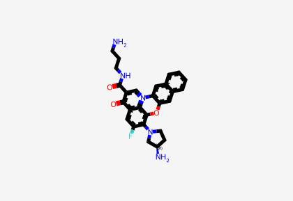 NCCCNC(=O)c1cn2c3c(c(N4CC[C@@H](N)C4)c(F)cc3c1=O)Oc1cc3ccccc3cc1-2